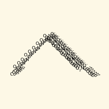 O=[N+]([O-])[O-].O=[N+]([O-])[O-].O=[N+]([O-])[O-].O=[N+]([O-])[O-].O=[N+]([O-])[O-].O=[N+]([O-])[O-].O=[N+]([O-])[O-].O=[N+]([O-])[O-].O=[N+]([O-])[O-].O=[N+]([O-])[O-].O=[N+]([O-])[O-].O=[N+]([O-])[O-].O=[N+]([O-])[O-].O=[N+]([O-])[O-].O=[N+]([O-])[O-].O=[N+]([O-])[O-].O=[N+]([O-])[O-].O=[N+]([O-])[O-].O=[N+]([O-])[O-].O=[N+]([O-])[O-].O=[N+]([O-])[O-].O=[N+]([O-])[O-].O=[N+]([O-])[O-].O=[N+]([O-])[O-].O=[N+]([O-])[O-].O=[N+]([O-])[O-].O=[N+]([O-])[O-].O=[N+]([O-])[O-].O=[N+]([O-])[O-].O=[N+]([O-])[O-].[Co+2].[Co+2].[Co+2].[Co+2].[Co+2].[Co+2].[Co+2].[Co+2].[Co+2].[Co+2].[Co+2]